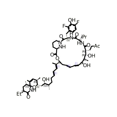 CC[C@H]1C[C@H](C)[C@@]2(NC1=O)O[C@@H](C[C@H](O)[C@@H](C)CC/C=C/C=C(\C)[C@@H]1C/C=C/C=C/[C@H](O)[C@H](C)[C@@H](O)[C@@H](CCC(C)=O)C(=O)N[C@@H](C(C)C)C(=O)N[C@@H](Cc3ccc(F)c(O)c3F)C(=O)N3CCCC(N3)C(=O)O1)[C@H](C)C=C2C